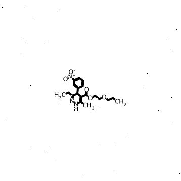 CCCOCCOC(=O)C1=C(C)NN=C(CC)C1c1cccc([N+](=O)[O-])c1